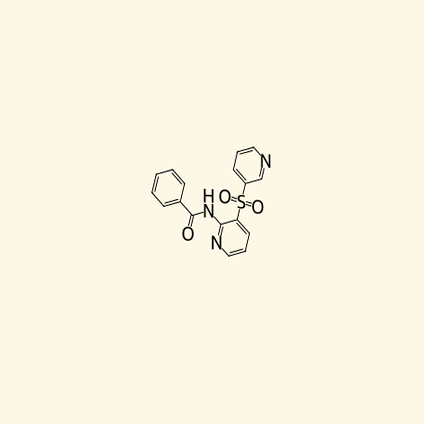 O=C(Nc1ncccc1S(=O)(=O)c1cccnc1)c1ccccc1